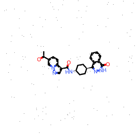 CC(=O)c1ccc2c(C(=O)N[C@H]3CC[C@H](c4n[nH]c(=O)c5ccccc54)CC3)cnn2c1